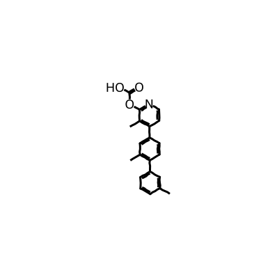 Cc1cccc(-c2ccc(-c3ccnc(OC(=O)O)c3C)cc2C)c1